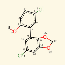 COc1ccc(Cl)cc1-c1cc(Cl)cc2c1O[CH]O2